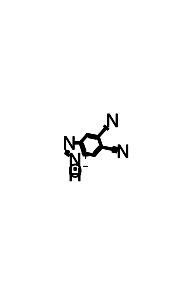 N#Cc1cc2c(cc1C#N)[NH+]([O-])C=N2